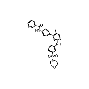 Cc1cnc(Nc2cccc(S(=O)(=O)N3CCOCC3)c2)nc1-c1ccc(NC(=O)c2cccnc2)cc1